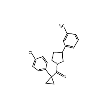 O=C(N1CCC(c2cccc(C(F)(F)F)c2)C1)C1(c2ccc(Cl)cc2)CC1